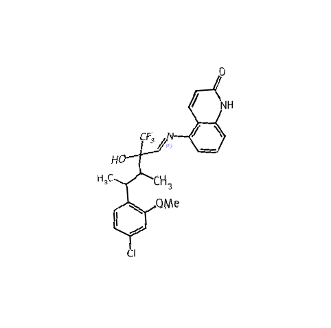 COc1cc(Cl)ccc1C(C)C(C)C(O)(/C=N/c1cccc2[nH]c(=O)ccc12)C(F)(F)F